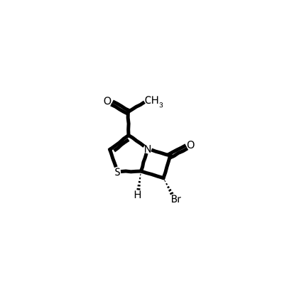 CC(=O)C1=CS[C@@H]2[C@@H](Br)C(=O)N12